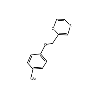 CC(C)(C)c1ccc(OCC2=CSC=CO2)cc1